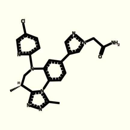 Cc1nnc2n1-c1ccc(-c3cnn(CC(N)=O)c3)cc1N(c1ccc(Cl)cn1)C[C@H]2C